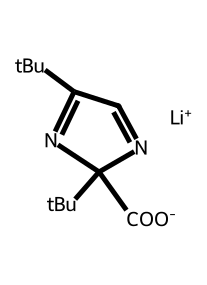 CC(C)(C)C1=NC(C(=O)[O-])(C(C)(C)C)N=C1.[Li+]